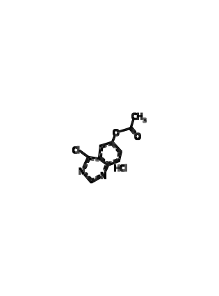 CC(=O)Oc1ccc2ncnc(Cl)c2c1.Cl